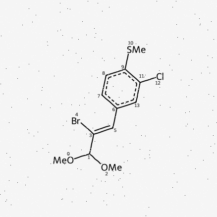 COC(OC)C(Br)=Cc1ccc(SC)c(Cl)c1